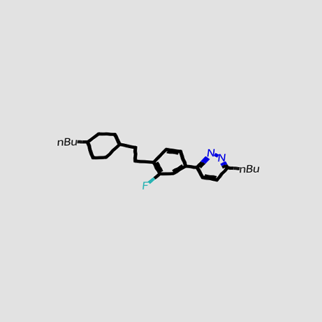 CCCCc1ccc(-c2ccc(CCC3CCC(CCCC)CC3)c(F)c2)nn1